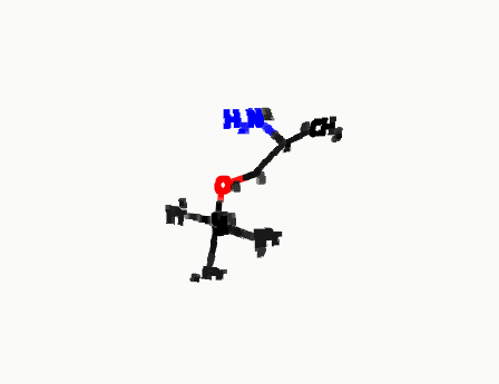 CC(N)CO[Si](C(C)C)(C(C)C)C(C)C